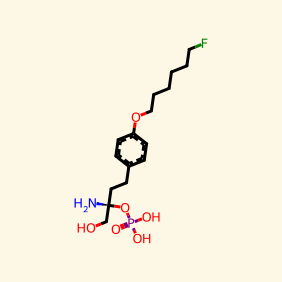 N[C@@](CO)(CCc1ccc(OCCCCCCF)cc1)OP(=O)(O)O